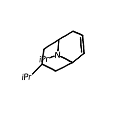 CC(C)C1CC2C=CCC(C1)N2C(C)C